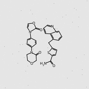 NC(=O)c1ccc(Cc2cccc3ncccc23)s1.O=C1COCCN1c1ccc(-n2ccoc2=O)cc1